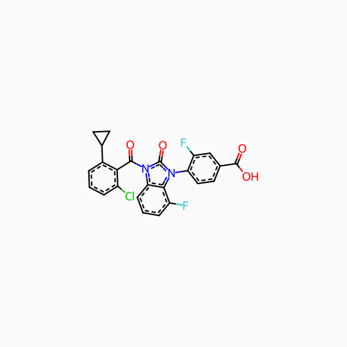 O=C(O)c1ccc(-n2c(=O)n(C(=O)c3c(Cl)cccc3C3CC3)c3cccc(F)c32)c(F)c1